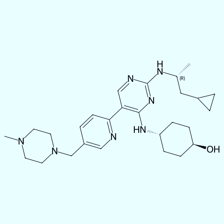 C[C@H](CC1CC1)Nc1ncc(-c2ccc(CN3CCN(C)CC3)cn2)c(N[C@H]2CC[C@H](O)CC2)n1